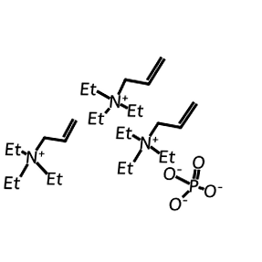 C=CC[N+](CC)(CC)CC.C=CC[N+](CC)(CC)CC.C=CC[N+](CC)(CC)CC.O=P([O-])([O-])[O-]